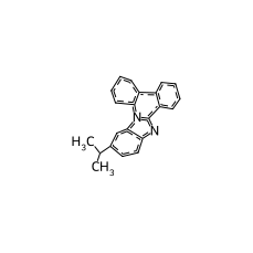 CC(C)c1ccc2nc3c4ccccc4c4ccccc4n3c2c1